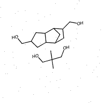 CC(C)(CO)CO.OCC1CC2C3CC(CO)C(C3)C2C1